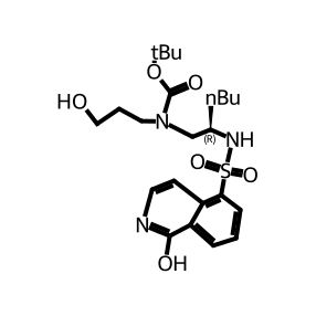 CCCC[C@H](CN(CCCO)C(=O)OC(C)(C)C)NS(=O)(=O)c1cccc2c(O)nccc12